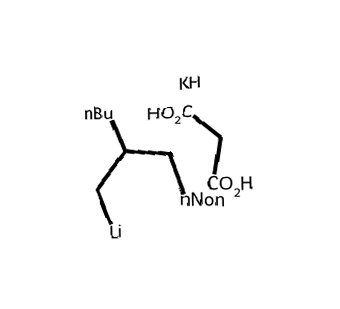 O=C(O)CC(=O)O.[KH].[Li][CH2]C(CCCC)CCCCCCCCCC